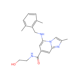 Cc1cn2c(NCc3c(C)cccc3C)cc(C(=O)NCCO)cc2n1